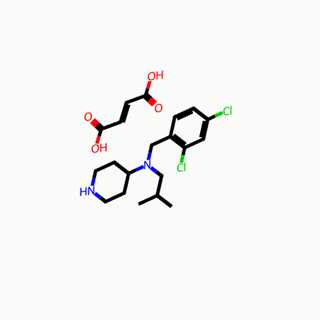 CC(C)CN(Cc1ccc(Cl)cc1Cl)C1CCNCC1.O=C(O)C=CC(=O)O